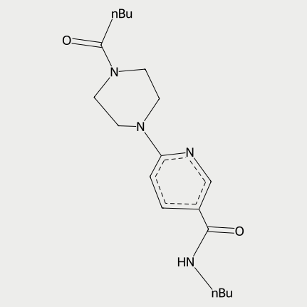 CCCCNC(=O)c1ccc(N2CCN(C(=O)CCCC)CC2)nc1